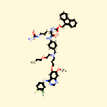 CCCOCCN(CCCOc1cc2c(Nc3ccc(F)c(Cl)c3)ncnc2cc1OC)Cc1ccc(NC(=O)[C@H](CCCNC(N)=O)NC(=O)OCC2c3ccccc3-c3ccccc32)cc1